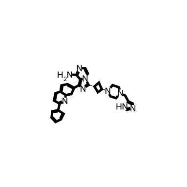 Nc1nccn2c1c(C1=CC=C3C=CC(c4ccccc4)=NC3C1)nc2[C@H]1C[C@@H](N2CCN(Cc3cnc[nH]3)CC2)C1